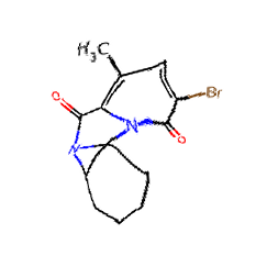 Cc1cc(Br)c(=O)n2c1C(=O)N1C3CCCCC312